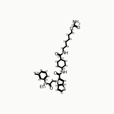 CCN(C(=O)Cn1c(C(=O)NC2CCC(C(=O)NCCCCCCOC(N)=O)CC2)cc2sccc21)c1cccc(C)c1